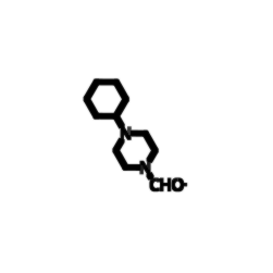 O=[C]N1CCN(C2CCCCC2)CC1